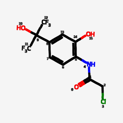 O=C(CCl)Nc1ccc(C(O)(C(F)(F)F)C(F)(F)F)cc1O